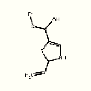 C=CC1NC=C(C(O)OCC)S1